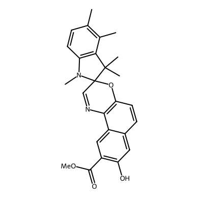 COC(=O)c1cc2c3c(ccc2cc1O)OC1(C=N3)N(C)c2ccc(C)c(C)c2C1(C)C